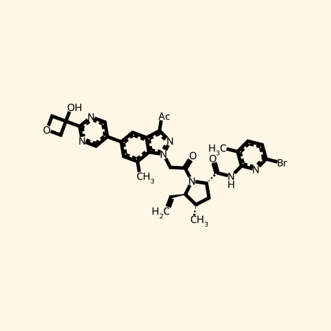 C=C[C@@H]1[C@@H](C)C[C@@H](C(=O)Nc2nc(Br)ccc2C)N1C(=O)Cn1nc(C(C)=O)c2cc(-c3cnc(C4(O)COC4)nc3)cc(C)c21